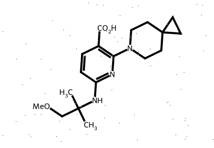 COCC(C)(C)Nc1ccc(C(=O)O)c(N2CCC3(CC2)CC3)n1